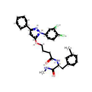 CNC(=O)[C@H](Cc1cccc(C)c1)NC(=O)CCCOc1cc(-c2ccccc2)nn1-c1ccc(Cl)c(Cl)c1